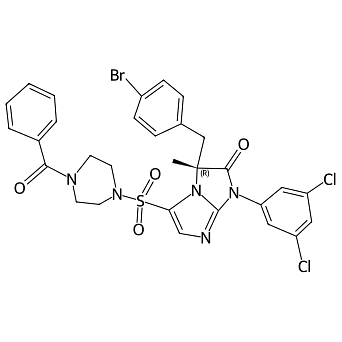 C[C@@]1(Cc2ccc(Br)cc2)C(=O)N(c2cc(Cl)cc(Cl)c2)c2ncc(S(=O)(=O)N3CCN(C(=O)c4ccccc4)CC3)n21